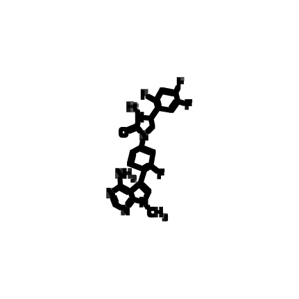 CCN1C(=O)N(c2ccc(-c3cn(C)c4ncnc(N)c34)c(F)c2)CC1c1cc(F)c(F)cc1F